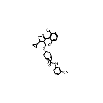 C[C@@H]1CC2C[C@H](OCc3c(-c4c(Cl)cccc4Cl)noc3C3CC3)CC1N2C(=O)Nc1cccc(C#N)c1